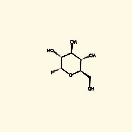 OC[C@H]1O[C@H](I)[C@H](O)[C@@H](O)[C@@H]1O